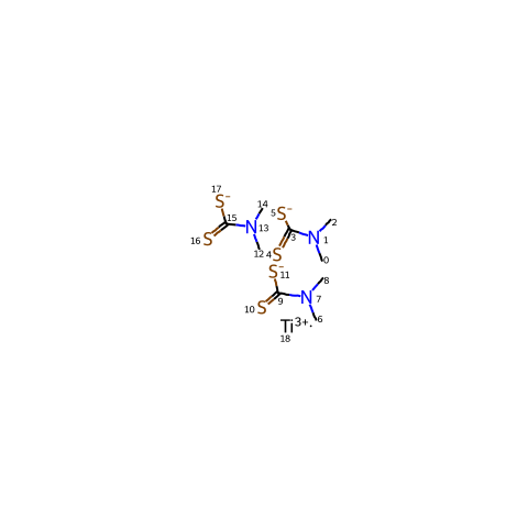 CN(C)C(=S)[S-].CN(C)C(=S)[S-].CN(C)C(=S)[S-].[Ti+3]